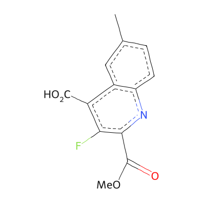 COC(=O)c1nc2ccc(C)cc2c(C(=O)O)c1F